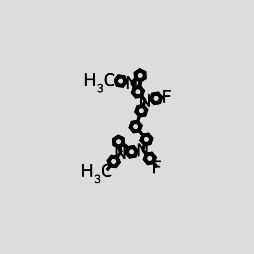 Cc1ccc(-n2c3ccccc3c3cc(N(c4ccc(F)cc4)c4ccc(-c5cccc(-c6cccc(N(c7ccc(F)cc7)c7ccc8c(c7)c7ccccc7n8-c7ccc(C)cc7)c6)c5)cc4)ccc32)cc1